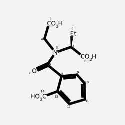 CC[C@@H](C(=O)O)N(CC(=O)O)C(=O)c1ccccc1C(=O)O